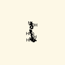 Cc1ccc2[nH]nc(NCC(=O)NC3CN([C@H]4CC[C@@](O)(c5cncs5)CC4)C3)c2n1